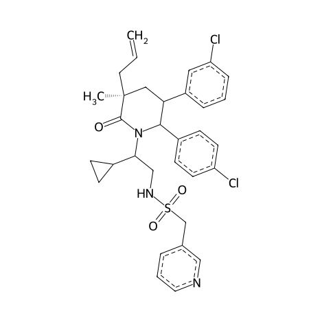 C=CC[C@@]1(C)CC(c2cccc(Cl)c2)C(c2ccc(Cl)cc2)N(C(CNS(=O)(=O)Cc2cccnc2)C2CC2)C1=O